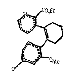 CCOC(=O)c1ncccc1C1=C(c2ccc(Cl)cc2OC)CCCC1